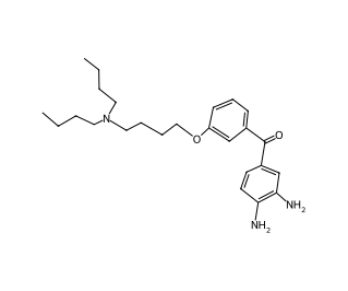 CCCCN(CCCC)CCCCOc1cccc(C(=O)c2ccc(N)c(N)c2)c1